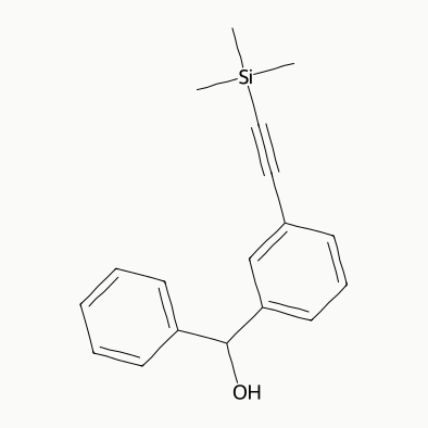 C[Si](C)(C)C#Cc1cccc(C(O)c2ccccc2)c1